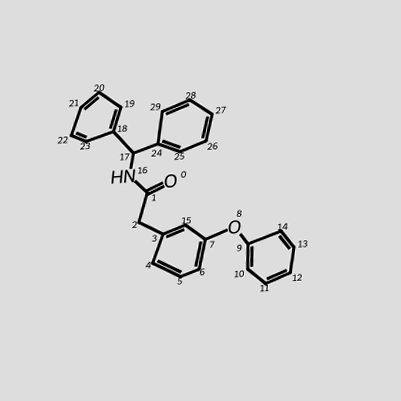 O=C(Cc1cccc(Oc2ccccc2)c1)NC(c1ccccc1)c1ccccc1